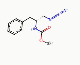 CC(C)(C)OC(=O)N[C@@H](CN=[N+]=[N-])Cc1ccccc1